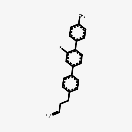 C=CCCc1ccc(-c2ccc(-c3ccc(C)cc3)c(F)c2)cc1